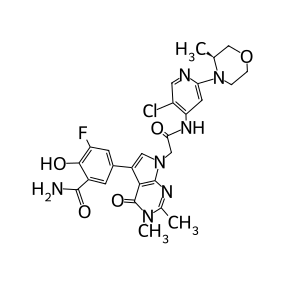 Cc1nc2c(c(-c3cc(F)c(O)c(C(N)=O)c3)cn2CC(=O)Nc2cc(N3CCOC[C@@H]3C)ncc2Cl)c(=O)n1C